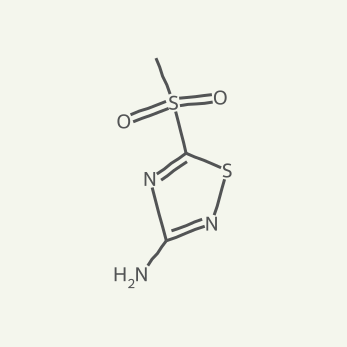 CS(=O)(=O)c1nc(N)ns1